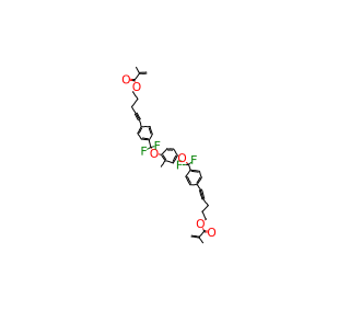 C=C(C)C(=O)OCCCC#Cc1ccc(C(F)(F)Oc2ccc(OC(F)(F)c3ccc(C#CCCCOC(=O)C(=C)C)cc3)c(C)c2)cc1